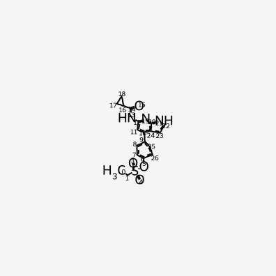 CCS(=O)(=O)Oc1ccc(-c2cc(NC(=O)C3CC3)nc3[nH]ccc23)cc1